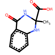 CC1(C(=O)O)NC(=O)c2ccccc2N1